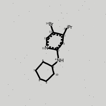 CC(C)c1cc(NC2CCCCC2)ncc1Br